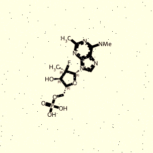 CNc1nc(C)nc2c1ncn2[C@@H]1O[C@H](COP(=O)(O)O)[C@@H](O)[C@@]1(C)F